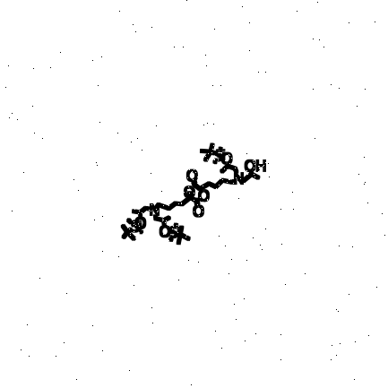 CC(O)CN(CCCCC1OC(=O)C(CCCCN(CC(C)O[Si](C)(C)C(C)(C)C)CC(C)O[Si](C)(C)C(C)(C)C)OC1=O)CC(C)O[Si](C)(C)C(C)(C)C